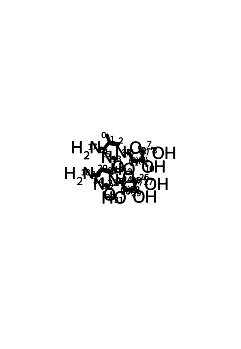 Cc1cn([C@@H]2O[C@H](CO)[C@@H](O)[C@H]2O)c(=O)nc1N.Nc1ccn([C@@H]2O[C@H](CO)[C@@H](O)[C@H]2O)c(=O)n1